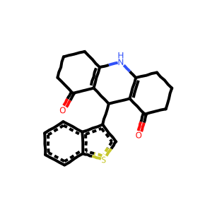 O=C1CCCC2=C1C(c1csc3ccccc13)C1=C(CCCC1=O)N2